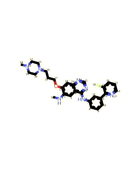 CNc1cc2c(Nc3cccc(-c4ncccc4F)c3)ncnc2cc1OCCCN1CCN(C)CC1